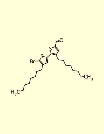 CCCCCCCCc1cc(-c2sc(C=O)cc2CCCCCCCC)sc1Br